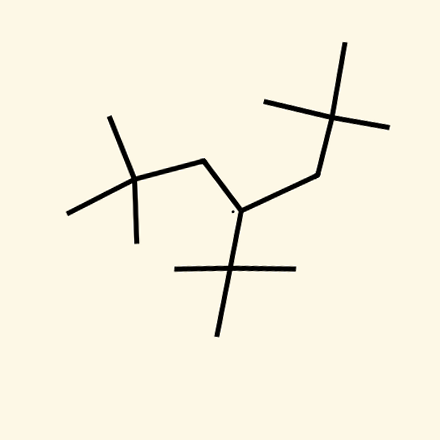 CC(C)(C)C[C](CC(C)(C)C)C(C)(C)C